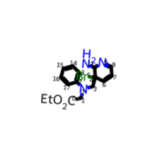 CCOC(=O)CN(CC1(Br)C=CC=NC1N)c1ccccc1